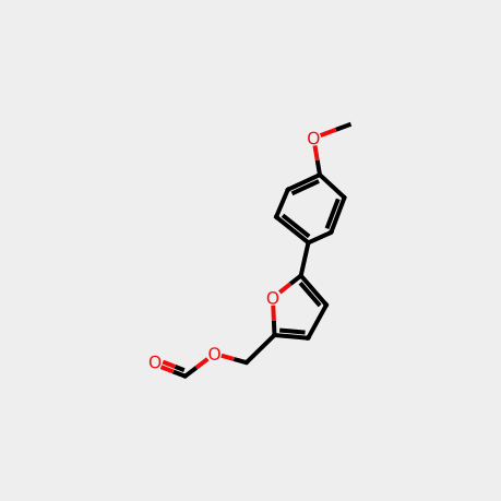 COc1ccc(-c2ccc(COC=O)o2)cc1